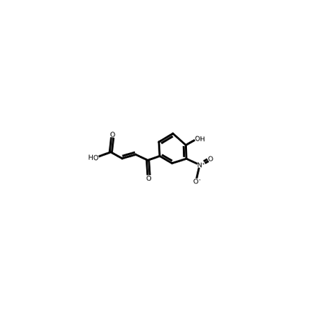 O=C(O)/C=C/C(=O)c1ccc(O)c([N+](=O)[O-])c1